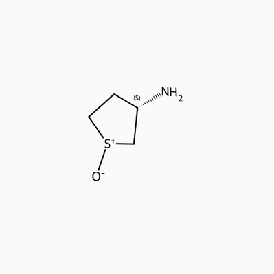 N[C@H]1CC[S+]([O-])C1